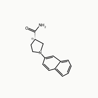 NC(=O)[C@H]1CCN(c2ccc3ccccc3c2)C1